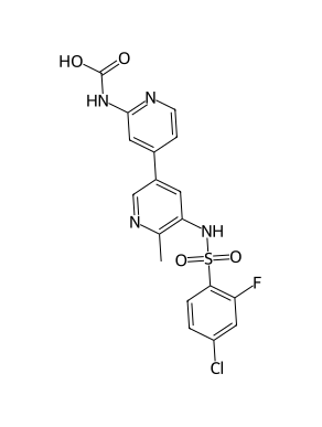 Cc1ncc(-c2ccnc(NC(=O)O)c2)cc1NS(=O)(=O)c1ccc(Cl)cc1F